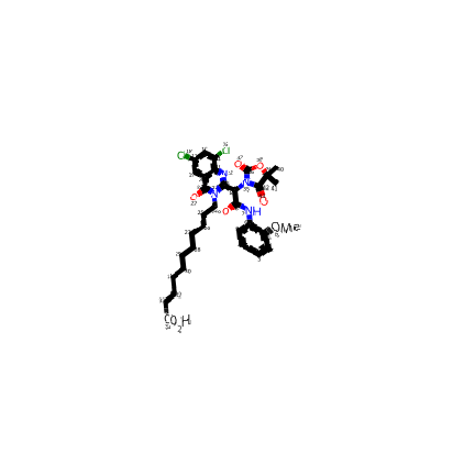 COc1ccccc1NC(=O)C(c1nc2c(Cl)cc(Cl)cc2c(=O)n1CCCCCCCCCCC(=O)O)N1C(=O)OC(C)(C)C1=O